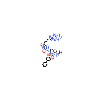 Nc1nc(CCCC2CC(C(=O)NCC(NS(=O)(=O)c3ccc(-c4ccccc4)cc3)C(=O)O)=NO2)c[nH]1